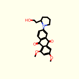 COc1cc(OC)c2c(c1)C(=O)c1cc(N3CCCCC3CCO)ccc1C2=O